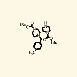 CC(C)(C)OC(=O)N1CCN(Cc2ccc(C(F)(F)F)cc2)CC1.CC(C)(C)OC(=O)N1CCNCC1